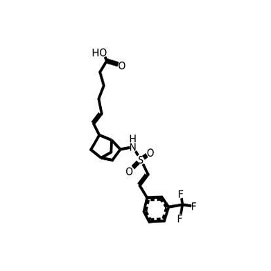 O=C(O)CCCC=CC1CC2CC(NS(=O)(=O)C=Cc3cccc(C(F)(F)F)c3)C1C2